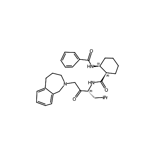 CC(C)C[C@@H](NC(=O)[C@@H]1CCCC[C@@H]1NC(=O)c1ccccc1)C(=O)CN1CCCc2ccccc2C1